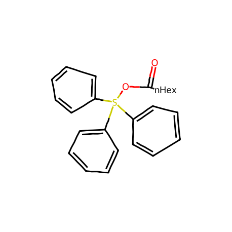 CCCCCCC(=O)OS(c1ccccc1)(c1ccccc1)c1ccccc1